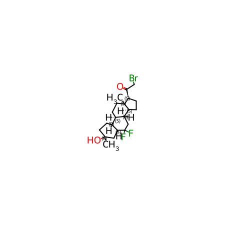 C[C@@]1(O)CC[C@@H]2[C@H]3CC[C@]4(C)[C@@H](C(=O)CBr)CC[C@H]4[C@@H]3CC(F)(F)[C@H]2C1